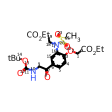 CCOC(=O)COc1ccc(C(=O)CNC(=O)OC(C)(C)C)cc1N(CC(=O)OCC)S(C)(=O)=O